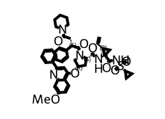 C=C[C@H]1C[C@]1(NC(=O)[C@@H]1C[C@@H](Oc2cc(-c3ccccc3)nc3cc(OC)ccc23)CN1C(=O)[C@@H](CC(=O)N1CCCCC1)c1ccccc1)C(=O)NS(=O)(=O)C1CC1